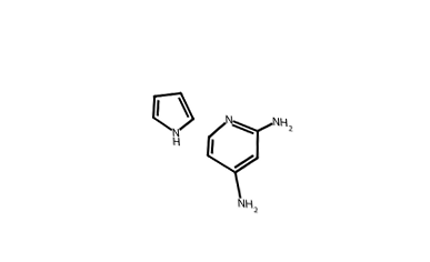 Nc1ccnc(N)c1.c1cc[nH]c1